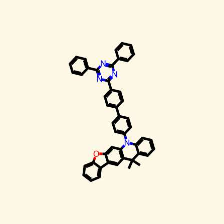 CC1(C)c2ccccc2N(c2ccc(-c3ccc(-c4nc(-c5ccccc5)nc(-c5ccccc5)n4)cc3)cc2)c2cc3oc4ccccc4c3cc21